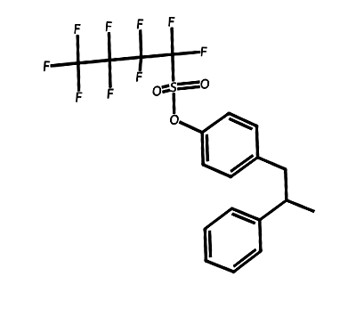 CC(Cc1ccc(OS(=O)(=O)C(F)(F)C(F)(F)C(F)(F)C(F)(F)F)cc1)c1ccccc1